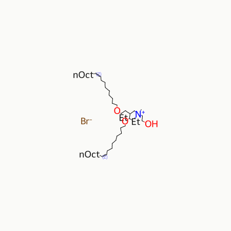 CCCCCCCC/C=C\CCCCCCCCOC(CC)CC(C[N+](C)(C)CCO)C(CC)OCCCCCCCC/C=C\CCCCCCCC.[Br-]